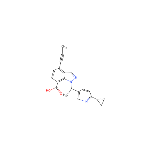 CC#Cc1ccc(C(=O)O)c2c1cnn2C(C)c1ccc(C2CC2)nc1